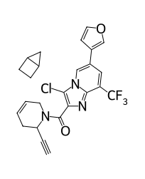 C#CC1CC=CCN1C(=O)c1nc2c(C(F)(F)F)cc(-c3ccoc3)cn2c1Cl.C1CC2CC12